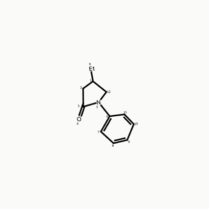 CCC1CC(=O)N(c2ccccc2)C1